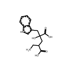 NCC(CC(O)(Cc1c[nH]c2ccccc12)C(=O)O)C(=O)O